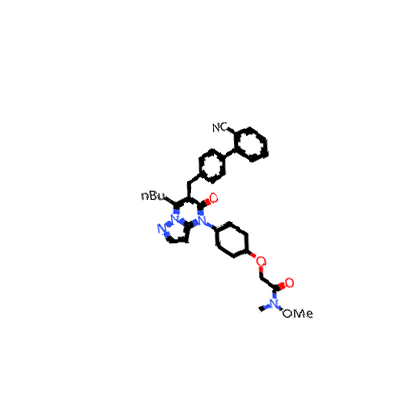 CCCCc1c(Cc2ccc(-c3ccccc3C#N)cc2)c(=O)n(C2CCC(OCC(=O)N(C)OC)CC2)c2ccnn12